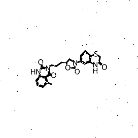 Cc1cccc2[nH]c(=O)n(CCC[C@H]3CN(c4ccc5c(c4)NC(=O)CS5)C(=O)O3)c(=O)c12